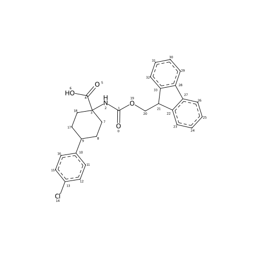 O=C(NC1(C(=O)O)CCC(c2ccc(Cl)cc2)CC1)OCC1c2ccccc2-c2ccccc21